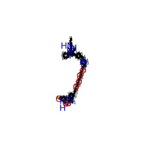 CCCCNc1ncc2c(-c3ccc(CN4CCN(CCOCCOCCOCCOCCCc5ccc6c(c5)n(C)c(=O)n6[C@H]5CCC(=O)NC5=O)CC4)cc3)cn(C3CCCCC3)c2n1